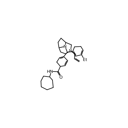 C=CCN1CCC2CCC(C1)N2C(C1=CCC(C(=O)NC2CCCCCC2)C=C1)C1=CC(CC)=CCC1